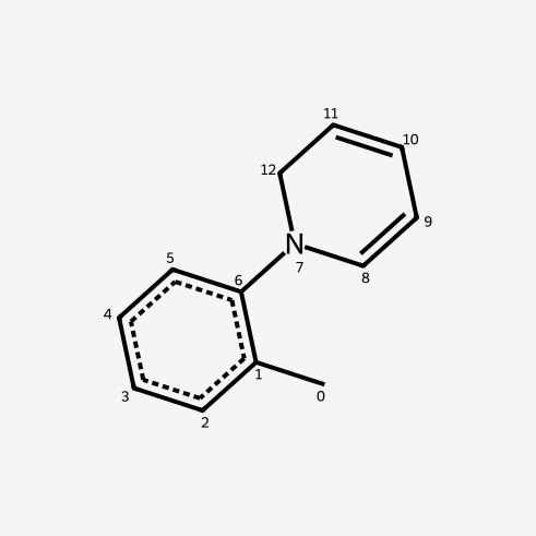 Cc1ccccc1N1C=CC=CC1